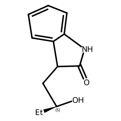 CC[C@H](O)CC1C(=O)Nc2ccccc21